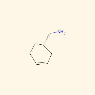 NC[C@@H]1CC=CCC1